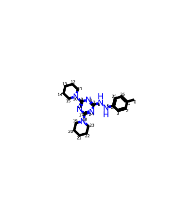 Cc1ccc(NNc2nc(N3CCCCC3)nc(N3CCCCC3)n2)cc1